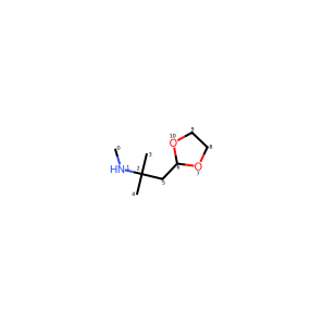 CNC(C)(C)CC1OCCO1